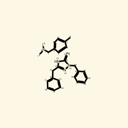 Cc1ccc(CN(I)I)cc1.[Pt]=[c]1[nH]c(Cc2ccccc2)nn1Cc1ccccc1